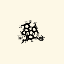 CCCCC1=C(C(c2cc(C)cc(C)c2)(c2cc(C)cc(C)c2)c2cc(C)cc(C)c2)CC=[C]1[Ti+3].[Cl-].[Cl-].[Cl-]